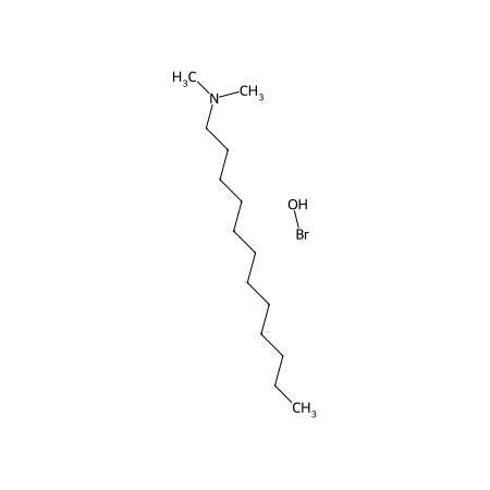 CCCCCCCCCCCCN(C)C.OBr